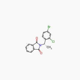 C[C@@H](c1ccc(Br)cc1Cl)N1C(=O)c2ccccc2C1=O